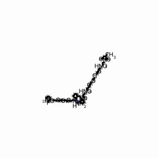 CC1CC(=O)N(CCC(=O)NCCOCCOCCOCCOCCC(=O)NCCC(=O)N2Cc3ccccc3/C(NCCOCCOCCOCCOc3cccnc3[18F])=C(/N)c3ccccc32)C1=O